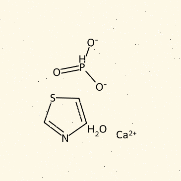 O.O=[PH]([O-])[O-].[Ca+2].c1cscn1